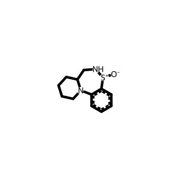 [O-][S+]1NCC2CCCCN2c2ccccc21